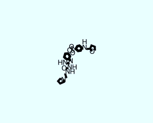 O=C(NCCN1CCCC1)Nc1nc2cc(OS(=O)(=O)c3ccc(NCC4CCCO4)cc3)ccc2[nH]1